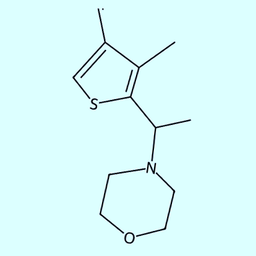 [CH2]c1csc(C(C)N2CCOCC2)c1C